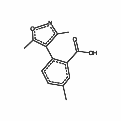 Cc1ccc(-c2c(C)noc2C)c(C(=O)O)c1